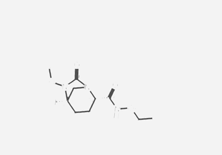 CCONC(=O)[C@@H]1CC[C@@H]2CN1C(=O)N2OC